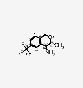 C[C@H]1OCc2ccc(C(F)(F)F)cc2[C@@H]1N